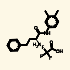 Cc1ccc(NC(=O)[C@H](N)CCc2ccccc2)cc1C.O=C(O)C(F)(F)F